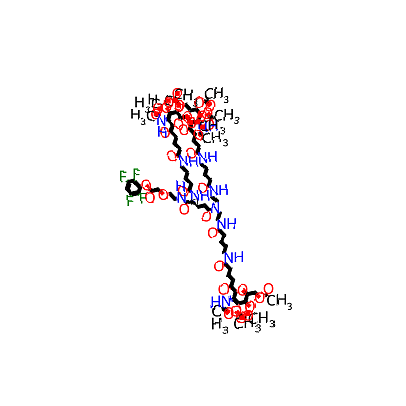 CC(=O)NC1C(C(=O)CCCC(=O)NCCCCC(=O)NCCN(CCNC(=O)CCCCNC(=O)CCCC(=O)C2OC(COC(C)=O)C(OC(C)=O)C(OC(C)=O)C2NC(C)=O)C(=O)CC[C@H](NC(=O)CCCCNC(=O)CCCC(=O)C2OC(COC(C)=O)C(OC(C)=O)C(OC(C)=O)C2NC(C)=O)C(=O)NCCOCC(=O)Oc2c(F)c(F)cc(F)c2F)OC(COC(C)=O)C(OC(C)=O)C1OC(C)=O